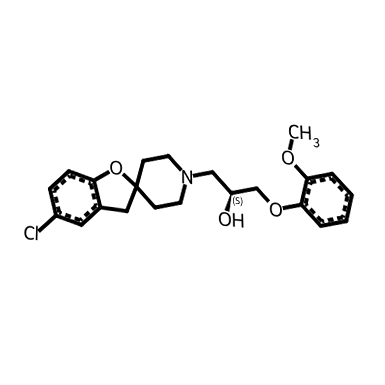 COc1ccccc1OC[C@@H](O)CN1CCC2(CC1)Cc1cc(Cl)ccc1O2